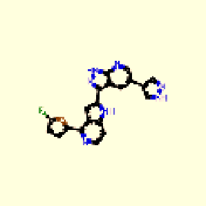 Fc1ccc(-c2nccc3[nH]c(-c4n[nH]c5ncc(-c6cn[nH]c6)cc45)cc23)s1